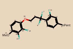 CCCCCc1ccc(C(F)(F)CCOc2ccc(OC)c(F)c2F)c(F)c1